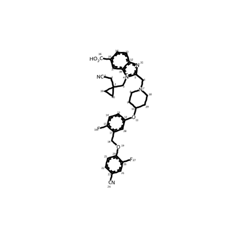 N#CCC1(Cn2c(CN3CCC(Oc4ccc(F)c(COc5ccc(C#N)cc5F)c4)CC3)nc3ccc(C(=O)O)cc32)CC1